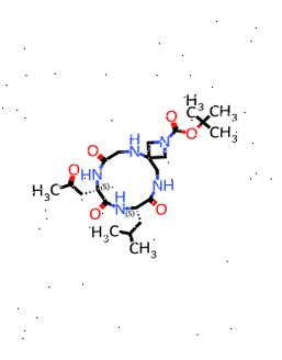 CC(=O)C[C@@H]1NC(=O)CNC2(CNC(=O)[C@H](CC(C)C)NC1=O)CN(C(=O)OC(C)(C)C)C2